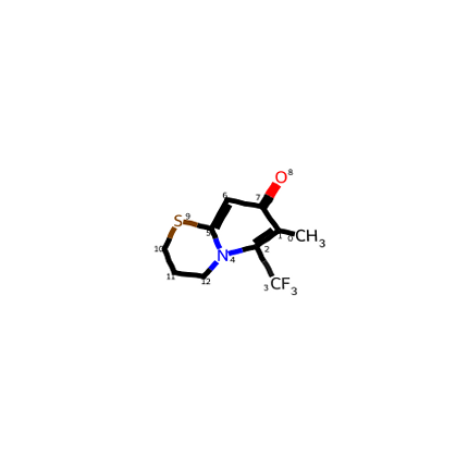 Cc1c(C(F)(F)F)n2c(cc1=O)SCCC2